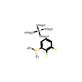 CCCCCC[CH2][Al-]([CH2]CCCCCC)([CH2]CCCCCC)[CH2]CCCCCC.CCC[PH+](CC)c1cccc(F)c1F